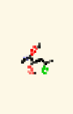 C/C=C(/OCC)C(=CC(C)Cl)OC